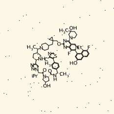 CCc1c(F)ccc2cc(O)cc(-c3ncc4c(N5CCC[C@@](C)(O)C5)nc(OCC5(CC6CCN(C(C)C7CCC(c8cn([C@H](C(=O)N9C[C@H](O)C[C@H]9C(=O)N[C@@H](C)c9ccc(-c%10scnc%10C)cc9)C(C)C)nn8)NC7)CC6)CC5)nc4c3F)c12